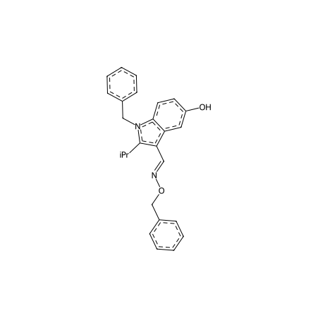 CC(C)c1c(C=NOCc2ccccc2)c2cc(O)ccc2n1Cc1ccccc1